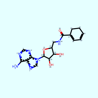 Nc1ncnc2c1ncn2C1OC(CNC(=O)C2=CC=CCC2)C(O)C1O